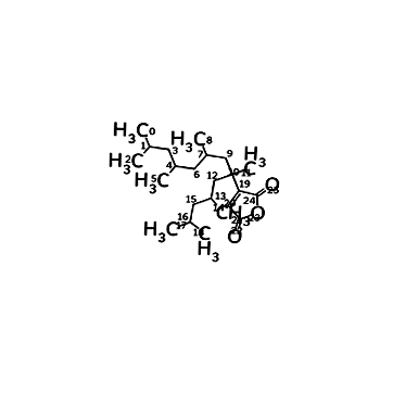 CC(C)CC(C)CC(C)CC(C)(CC(C)CC(C)C)C1=CC(=O)OC1=O